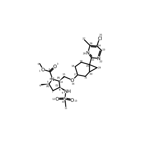 COC(=O)N1[C@H](C)C[C@H](NS(C)(=O)=O)[C@@H]1COC1CCC2(c3ncc(Cl)c(C)n3)CC2C1